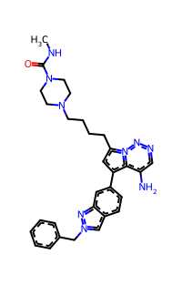 CNC(=O)N1CCN(CCCCc2cc(-c3ccc4cn(Cc5ccccc5)nc4c3)c3c(N)cnnn23)CC1